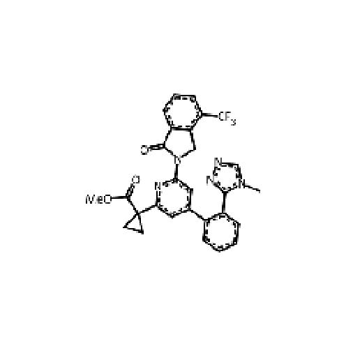 COC(=O)C1(c2cc(-c3ccccc3-c3nncn3C)cc(N3Cc4c(cccc4C(F)(F)F)C3=O)n2)CC1